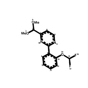 COC(OC)c1ccnc(-c2ccccc2OC(F)F)n1